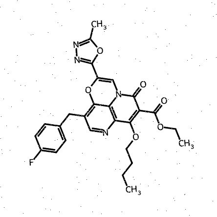 CCCCOc1c(C(=O)OCC)c(=O)n2c3c(c(Cc4ccc(F)cc4)cnc13)OC(c1nnc(C)o1)=C2